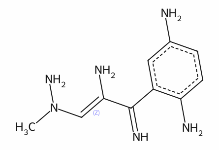 CN(N)/C=C(\N)C(=N)c1cc(N)ccc1N